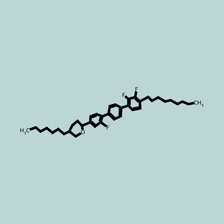 CCCCCCCCCc1ccc(-c2ccc(-c3ccc(C4CCC(CCCCCCC)CO4)cc3F)cc2)c(F)c1F